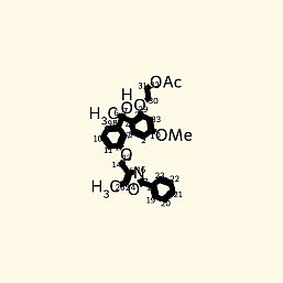 COc1ccc(C(C)(O)c2cccc(OCc3nc(-c4ccccc4)oc3C)c2)c(OCCOC(C)=O)c1